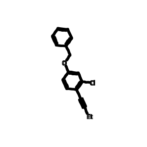 CCC#Cc1ccc(OCc2ccccc2)cc1Cl